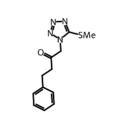 CSc1nnnn1CC(=O)CCc1ccccc1